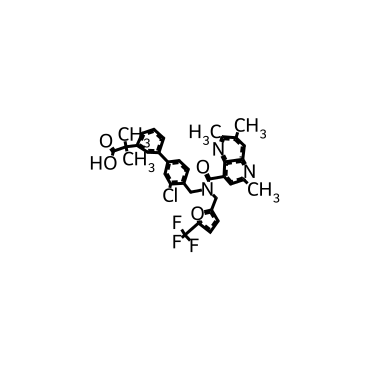 Cc1cc(C(=O)N(Cc2ccc(C(F)(F)F)o2)Cc2ccc(-c3cccc(C(C)(C)C(=O)O)c3)cc2Cl)c2nc(C)c(C)cc2n1